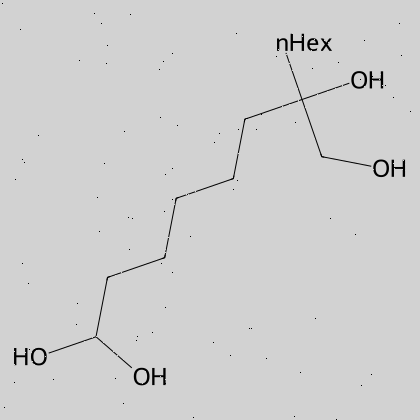 CCCCCCC(O)(CO)CCCCCC(O)O